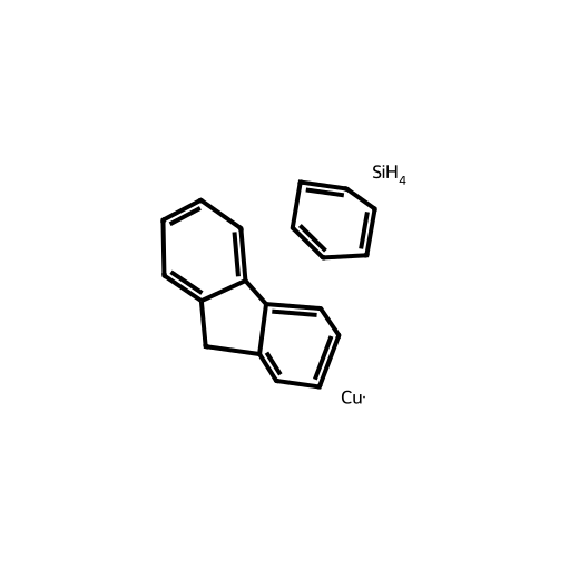 [Cu].[SiH4].c1ccc2c(c1)Cc1ccccc1-2.c1ccccc1